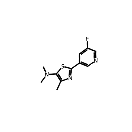 Cc1nc(-c2cncc(F)c2)sc1N(C)C